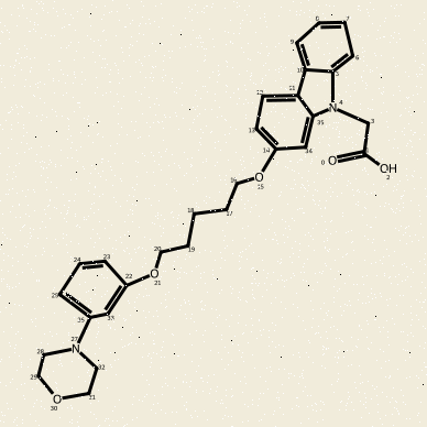 O=C(O)Cn1c2ccccc2c2ccc(OCCCCCOc3cccc(N4CCOCC4)c3)cc21